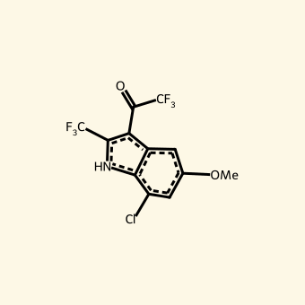 COc1cc(Cl)c2[nH]c(C(F)(F)F)c(C(=O)C(F)(F)F)c2c1